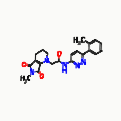 Cc1ccccc1-c1ccc(NC(=O)CN2CCCC3=C2C(=O)N(C)C3=O)nn1